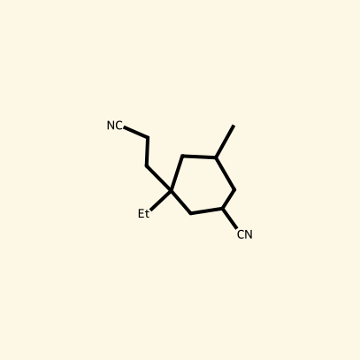 CCC1(CCC#N)CC(C)CC(C#N)C1